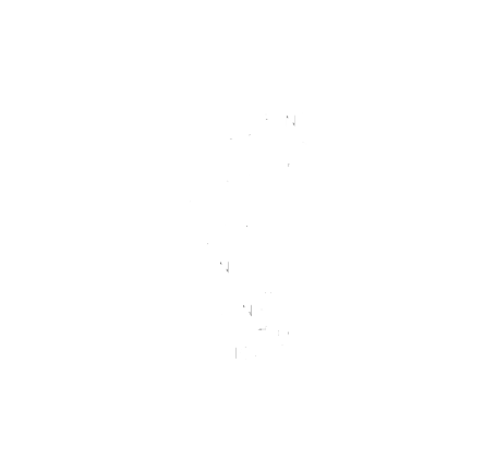 Cc1cc(-c2ccncc2C)ccc1CN1CCN(C(=O)O)CC1